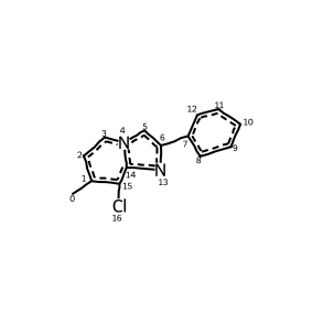 Cc1ccn2cc(-c3ccccc3)nc2c1Cl